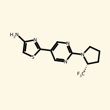 Nc1csc(-c2cnc(N3CCC[C@@H]3C(F)(F)F)nc2)n1